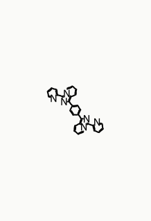 c1ccc(-c2nc(-c3ccc(-c4nc(-c5ccccn5)n5ccccc45)cc3)c3ccccn23)nc1